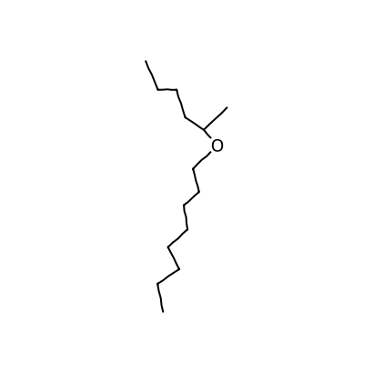 CCCCCCCCOC(C)CCCC